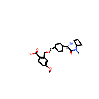 COc1ccc(C(=O)O)c(COCC2CCC([C@H](N)C(=O)N(C)C3CCC3)CC2)c1